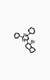 Brc1c(-c2cc(-c3ccccc3)nc(-c3ccccc3)n2)ccc2ccccc12